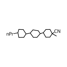 CCCC1CCC(C2CCC(C3CCC(C)(C#N)CC3)CC2)CC1